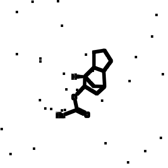 CCC(C)C(=O)OC1CC2C[C@H]1C1CCCC21